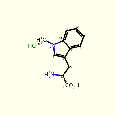 Cl.Cn1cc(C[C@H](N)C(=O)O)c2ccccc21